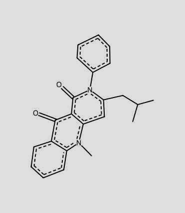 CC(C)Cc1cc2c(c(=O)c3ccccc3n2C)c(=O)n1-c1ccccc1